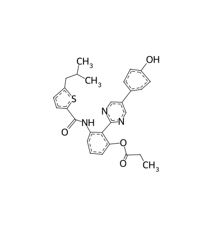 CCC(=O)Oc1cccc(NC(=O)c2ccc(CC(C)C)s2)c1-c1ncc(-c2ccc(O)cc2)cn1